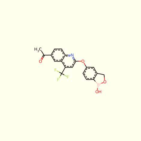 CC(=O)c1ccc2nc(Oc3ccc4c(c3)COB4O)cc(C(F)(F)F)c2c1